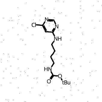 CC(C)(C)OC(=O)NCCCCNc1cc(Cl)ncn1